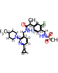 CC1CCN(c2nc(C3CC3)ccc2CNC(=O)C(C)c2ccc(CNS(C)(=O)=O)c(F)c2)CC1